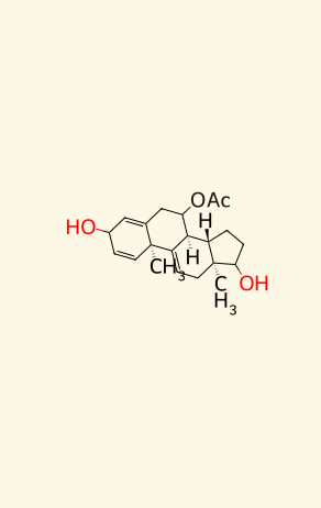 CC(=O)OC1CC2=CC(O)C=C[C@]2(C)C2=CC[C@]3(C)C(O)CC[C@H]3[C@@H]21